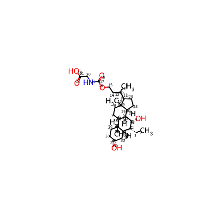 CC[C@H]1[C@@H](O)[C@@H]2[C@H](CC[C@]3(C)[C@@H]([C@H](C)CCOC(=O)NCC(=O)O)CC[C@@H]23)[C@@]2(C)CC[C@@H](O)C[C@@H]12